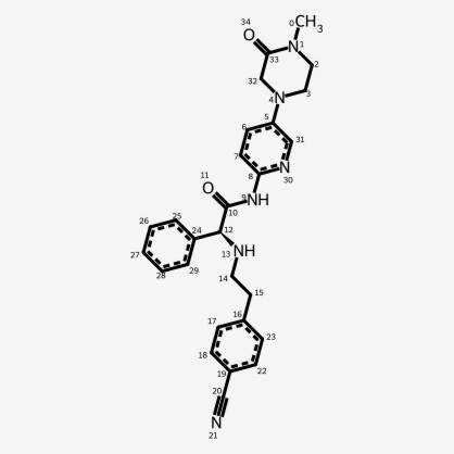 CN1CCN(c2ccc(NC(=O)[C@@H](NCCc3ccc(C#N)cc3)c3ccccc3)nc2)CC1=O